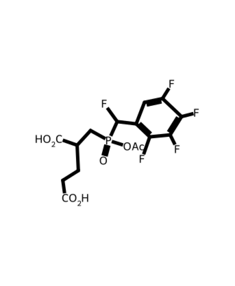 CC(=O)OP(=O)(CC(CCC(=O)O)C(=O)O)C(F)c1cc(F)c(F)c(F)c1F